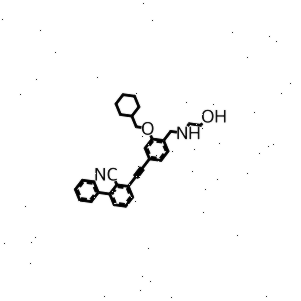 N#Cc1c(C#Cc2ccc(CNCCO)c(OCC3CCCCC3)c2)cccc1-c1ccccc1